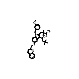 COc1cccc(Cn2c(CC(C)(C)C(=O)O)c(C(=O)CC(C)(C)C)c3cc(OCc4ccc5ccccc5n4)ccc32)c1